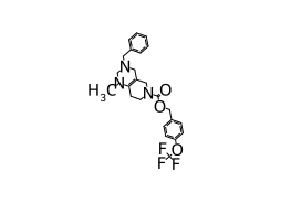 CN1CN(Cc2ccccc2)CC2=C1CCN(C(=O)OCc1ccc(OC(F)(F)F)cc1)C2